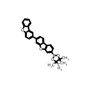 CC1(C)OB(c2ccc3c(c2)oc2cc(-c4ccc5oc6ccccc6c5c4)ccc23)OC1(C)C